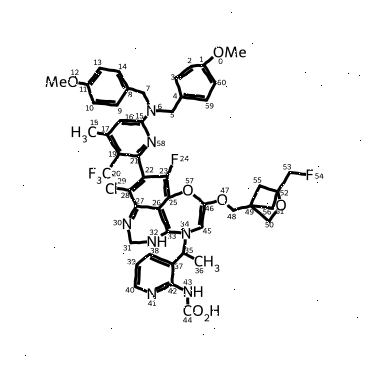 COc1ccc(CN(Cc2ccc(OC)cc2)c2cc(C)c(C(F)(F)F)c(-c3c(F)c4c5c(c3Cl)=NCNC=5N(C(C)c3cccnc3NC(=O)O)C=C(OCC35COC(CF)(C3)C5)O4)n2)cc1